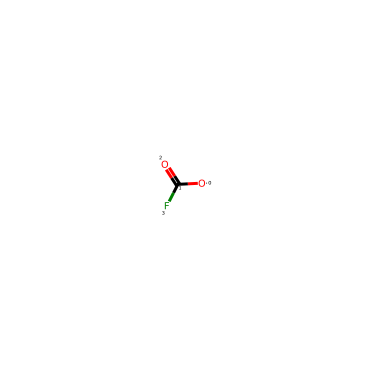 [O]C(=O)F